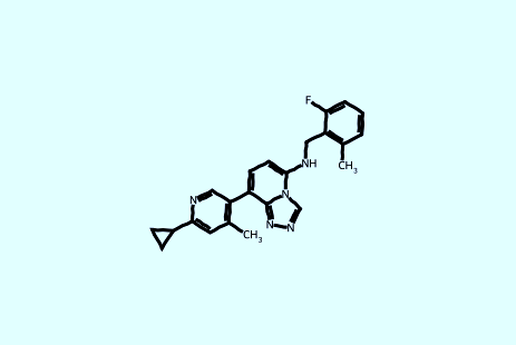 Cc1cc(C2CC2)ncc1-c1ccc(NCc2c(C)cccc2F)n2cnnc12